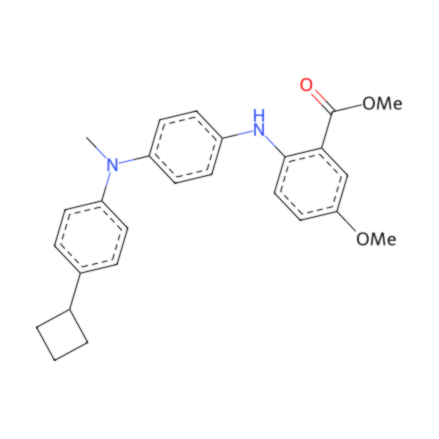 COC(=O)c1cc(OC)ccc1Nc1ccc(N(C)c2ccc(C3CCC3)cc2)cc1